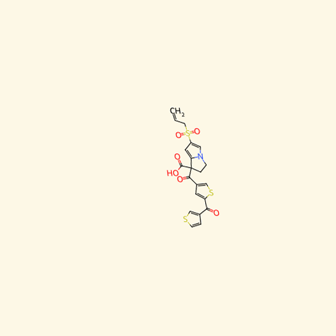 C=CCS(=O)(=O)c1cc2n(c1)CCC2(C(=O)O)C(=O)c1csc(C(=O)c2ccsc2)c1